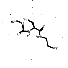 CC(C)CCNC(=O)C(CC(C)C)NC(=O)OC(C)(C)C